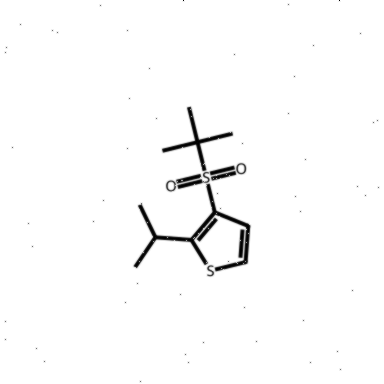 CC(C)c1sccc1S(=O)(=O)C(C)(C)C